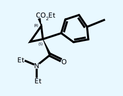 CCOC(=O)[C@@H]1C[C@@]1(C(=O)N(CC)CC)c1ccc(C)cc1